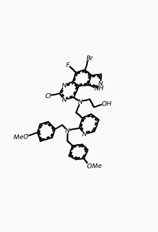 COc1ccc(CN(Cc2ccc(OC)cc2)c2ncccc2CN(CCO)c2nc(Cl)nc3c(F)c(Br)c4cn[nH]c4c23)cc1